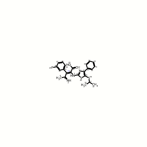 CC(=N)/C(=C(\Nc1nc(-c2ccccc2)c(SC(C)C)s1)C(=O)O)c1cccc(F)c1